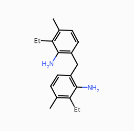 CCc1c(C)ccc(Cc2ccc(C)c(CC)c2N)c1N